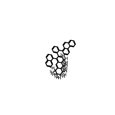 [2H]C1=C(c2ccccc2-c2cccc3c2ccc2ccccc23)C(c2cccc3ccccc23)=C2C=C3C([2H])([2H])C([2H])([2H])C([2H])([2H])C([2H])([2H])C3([2H])C([2H])([2H])C2([2H])C1([2H])[2H]